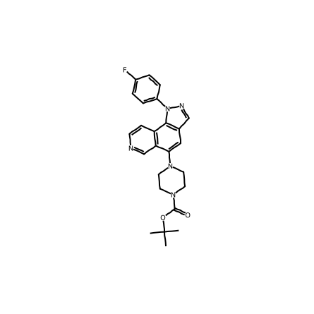 CC(C)(C)OC(=O)N1CCN(c2cc3cnn(-c4ccc(F)cc4)c3c3ccncc23)CC1